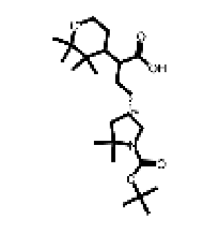 CC(C)(C)OC(=O)N1C[C@@H](CCC(C(=O)O)C2CCOC(C)(C)C2(C)C)CC1(C)C